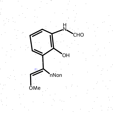 CCCCCCCCC/C(=C\OC)c1cccc(NC=O)c1O